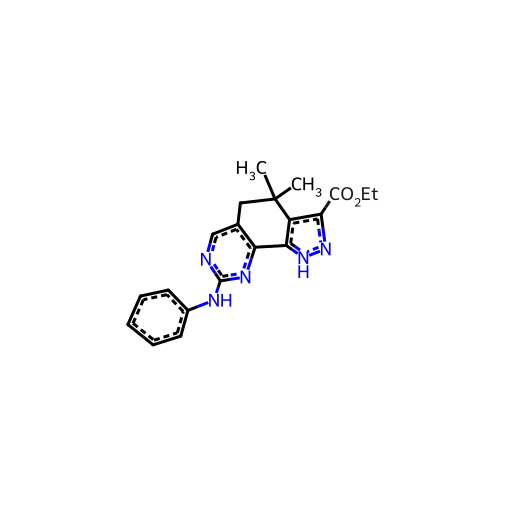 CCOC(=O)c1n[nH]c2c1C(C)(C)Cc1cnc(Nc3ccccc3)nc1-2